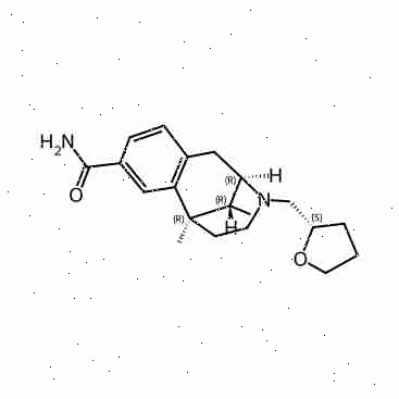 C[C@H]1[C@H]2Cc3ccc(C(N)=O)cc3[C@]1(C)CCN2C[C@@H]1CCCO1